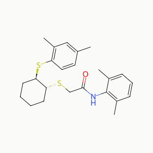 Cc1ccc(S[C@@H]2CCCC[C@H]2SCC(=O)Nc2c(C)cccc2C)c(C)c1